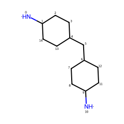 [NH]C1CCC(CC2CCC([NH])CC2)CC1